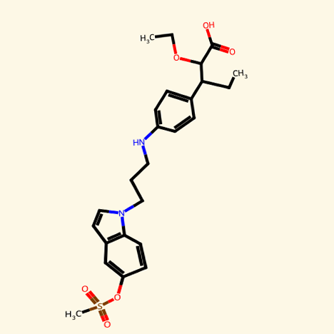 CCOC(C(=O)O)C(CC)c1ccc(NCCCn2ccc3cc(OS(C)(=O)=O)ccc32)cc1